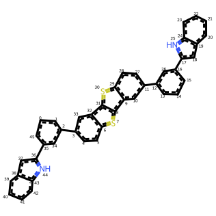 c1cc(-c2ccc3sc4c5cc(-c6cccc(-c7cc8ccccc8[nH]7)c6)ccc5sc4c3c2)cc(-c2cc3ccccc3[nH]2)c1